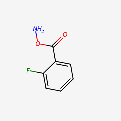 NOC(=O)c1ccccc1F